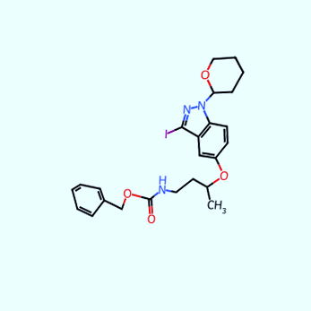 CC(CCNC(=O)OCc1ccccc1)Oc1ccc2c(c1)c(I)nn2C1CCCCO1